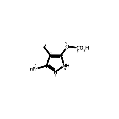 CCCc1n[nH]c(OC(=O)O)c1C